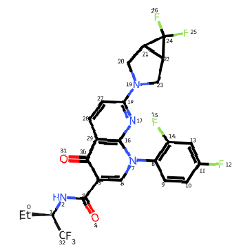 CC[C@@H](NC(=O)c1cn(-c2ccc(F)cc2F)c2nc(N3CC4C(C3)C4(F)F)ccc2c1=O)C(F)(F)F